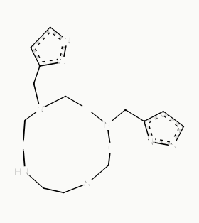 c1cc(CN2CCNCCNCCN(Cc3cc[nH]n3)CC2)n[nH]1